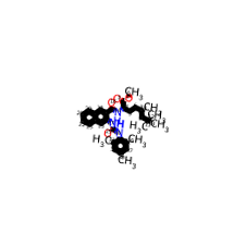 COC(=O)C(CCC(C)CC(C)(C)C)NC(=O)c1cc2ccccc2cc1NC(=O)Nc1c(C)cc(C)cc1C